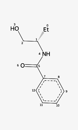 CC[C@@H](CO)NC(=O)c1ccccc1